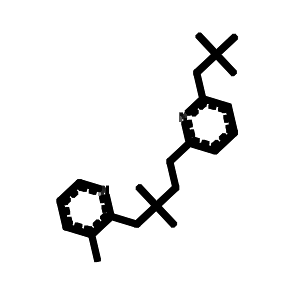 Cc1cccnc1CC(C)(C)CCc1cccc(CC(C)(C)C)n1